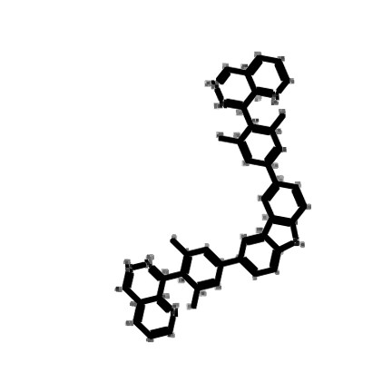 Cc1cc(-c2ccc3sc4ccc(-c5cc(C)c(-c6nncc7cccnc67)c(C)c5)cc4c3c2)cc(C)c1-c1nncc2cccnc12